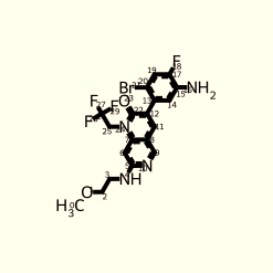 COCCNc1cc2c(cn1)cc(-c1cc(N)c(F)cc1Br)c(=O)n2CC(F)(F)F